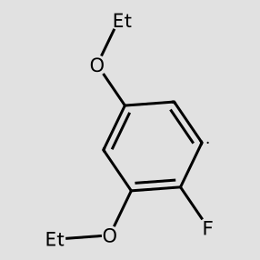 CCOc1c[c]c(F)c(OCC)c1